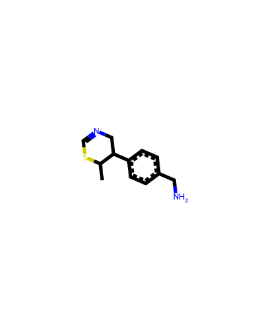 CC1SC=NCC1c1ccc(CN)cc1